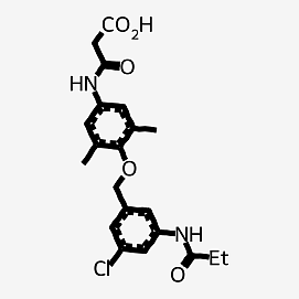 CCC(=O)Nc1cc(Cl)cc(COc2c(C)cc(NC(=O)CC(=O)O)cc2C)c1